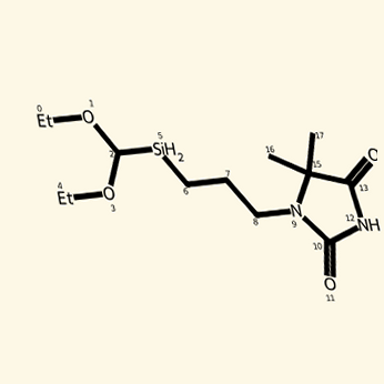 CCOC(OCC)[SiH2]CCCN1C(=O)NC(=O)C1(C)C